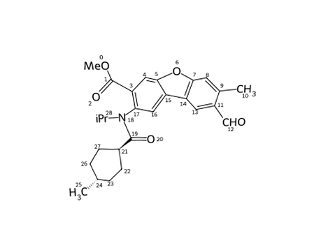 COC(=O)c1cc2oc3cc(C)c(C=O)cc3c2cc1N(C(=O)[C@H]1CC[C@H](C)CC1)C(C)C